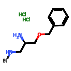 CCNC[C@@H](N)COCc1ccccc1.Cl.Cl